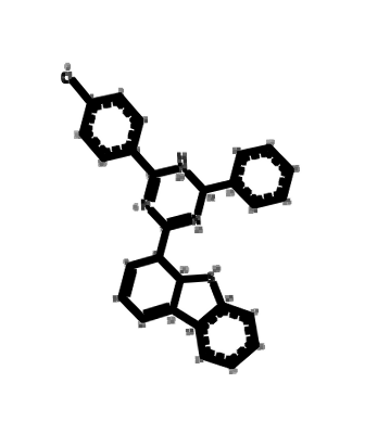 Clc1ccc(C2=NC(C3C=CC=C4c5ccccc5SC43)=NC(c3ccccc3)N2)cc1